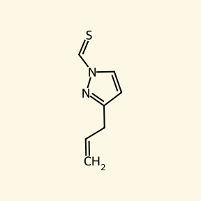 C=CCc1ccn(C=S)n1